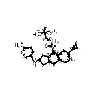 Cc1ccc(NC2Cc3cc4cnc(C5CC5)cc4c(S(=O)(=O)NCC(C)(C)O)c3C2)nn1